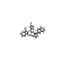 c1ccc2nc(-c3nnc(SCCc4c[nH]c5ccccc45)n3CCCc3c[nH]cn3)ccc2c1